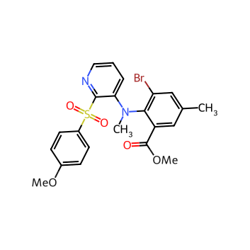 COC(=O)c1cc(C)cc(Br)c1N(C)c1cccnc1S(=O)(=O)c1ccc(OC)cc1